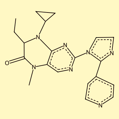 CCC1C(=O)N(C)c2cnc(-n3ccnc3-c3ccncc3)nc2N1C1CC1